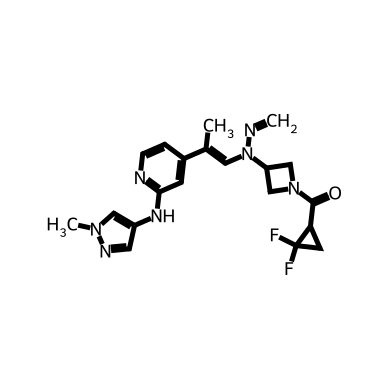 C=NN(/C=C(\C)c1ccnc(Nc2cnn(C)c2)c1)C1CN(C(=O)C2CC2(F)F)C1